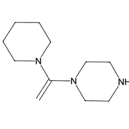 C=C(N1CCCCC1)N1CCNCC1